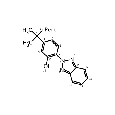 CCCCCC(C)(C)c1ccc(-n2nc3ccccc3n2)c(O)c1